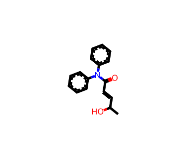 CC(O)C=CC(=O)N(c1ccccc1)c1ccccc1